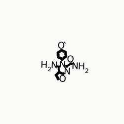 COc1ccc(N2C(C(N)=O)=Nc3occc3C2N)cc1